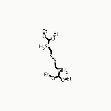 CCOC(OCC)[SiH2]CSSC[SiH2]C(OCC)OCC